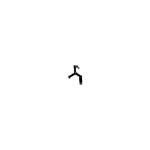 N[N+]([S])C=O